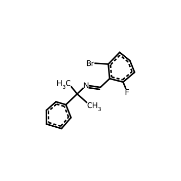 CC(C)(N=Cc1c(F)cccc1Br)c1ccccc1